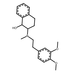 COc1ccc(CCN(C)C2CCc3ccccc3C2O)cc1OC